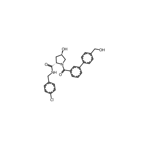 O=C(NCc1ccc(Cl)cc1)[C@@H]1C[C@@H](O)CN1C(=O)c1cccc(-c2ccc(CO)cc2)c1